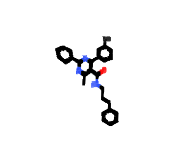 Cc1nc(-c2ccccc2)nc(-c2cccc(N=O)c2)c1C(=O)NCCCc1ccccc1